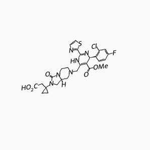 COC(=O)C1=C(CN2CCN3C(=O)N(C4(CC(=O)O)CC4)C[C@H]3C2)NC(c2nccs2)=N[C@H]1c1ccc(F)cc1Cl